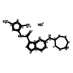 Cl.Cn1cc(NC(=O)c2cnn3ccc(NC4CCCNCC4)nc23)c(C(F)(F)F)n1